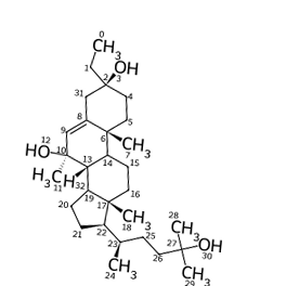 CC[C@]1(O)CC[C@@]2(C)C(=C[C@](C)(O)[C@@H]3C2CC[C@@]2(C)C3CC[C@@H]2[C@H](C)CCC(C)(C)O)C1